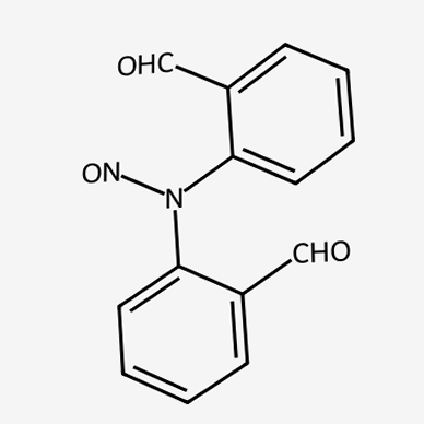 O=Cc1ccccc1N(N=O)c1ccccc1C=O